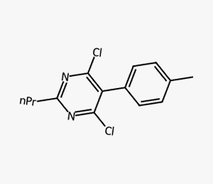 CCCc1nc(Cl)c(-c2ccc(C)cc2)c(Cl)n1